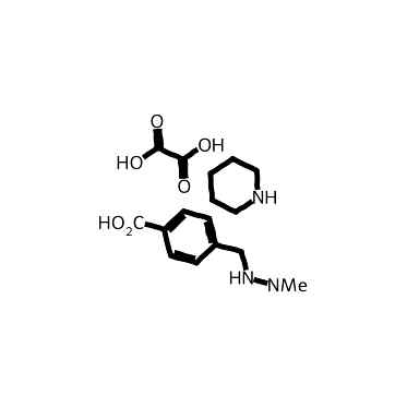 C1CCNCC1.CNNCc1ccc(C(=O)O)cc1.O=C(O)C(=O)O